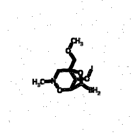 BC1OC2(COC)CN(C)OC1C2OI